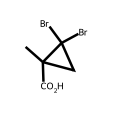 CC1(C(=O)O)CC1(Br)Br